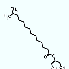 CC(C)CCCCCCCCCCCC(=O)OC(CO)CO